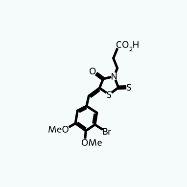 COc1cc(/C=C2\SC(=S)N(CCC(=O)O)C2=O)cc(Br)c1OC